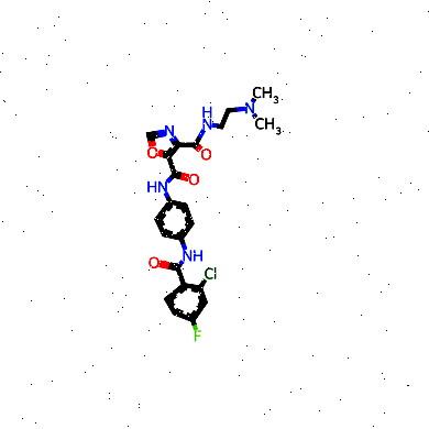 CN(C)CCNC(=O)c1ncoc1C(=O)Nc1ccc(NC(=O)c2ccc(F)cc2Cl)cc1